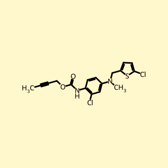 CC#CCOC(=O)Nc1ccc(N(C)Cc2ccc(Cl)s2)cc1Cl